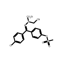 CCOC(=O)N(CC#N)N=C(c1ccc(Cl)cc1)c1ccc(OS(C)(=O)=O)cc1